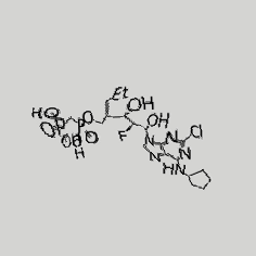 CC/C=C(/COP(=O)(O)CP(=O)(O)O)[C@@H](O)[C@H](F)[C@@H](O)n1cnc2c(NC3CCCC3)nc(Cl)nc21